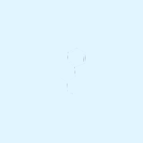 CCCC(C)[S+]([O-])Cc1ccccc1